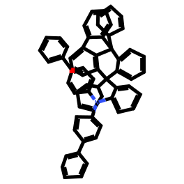 C1=CCC(C2(c3ccccc3N(c3ccc(-c4ccccc4)cc3)c3ccc(-c4ccccc4)cc3)c3ccccc3C3(C4C=CC=CC4)c4ccccc4-c4cccc2c43)C=C1